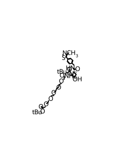 Cc1ncsc1-c1ccc(CNC(=O)[C@@H]2C[C@@H](O)CN2C(=O)[C@@H](NC(=O)COCCOCCOCCOCCOCC(=O)OC(C)(C)C)C(C)(C)C)cc1